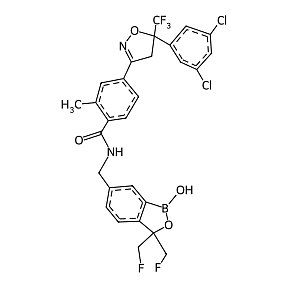 Cc1cc(C2=NOC(c3cc(Cl)cc(Cl)c3)(C(F)(F)F)C2)ccc1C(=O)NCc1ccc2c(c1)B(O)OC2(CF)CF